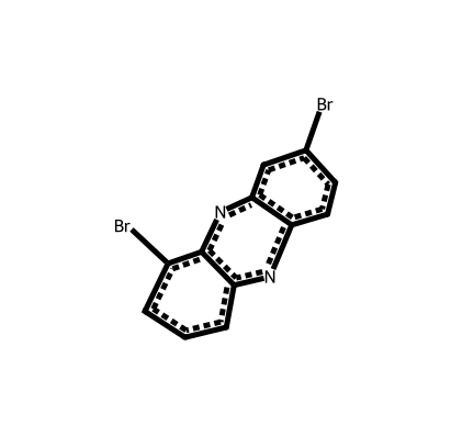 Brc1ccc2nc3cccc(Br)c3nc2c1